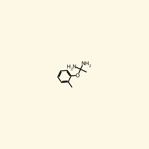 Cc1ccccc1OC(C)(N)N